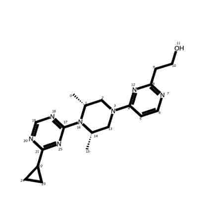 C[C@@H]1CN(c2ccnc(CCO)n2)C[C@H](C)N1c1ncnc(C2CC2)n1